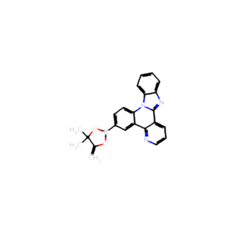 C=C1OB(c2ccc3c(c2)c2ncccc2c2nc4ccccc4n32)OC1(C)C